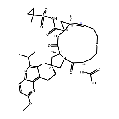 COc1ccc2nc(C(F)F)c3c(c2n1)CC[C@]1(C[C@H]2C(=O)N[C@]4(C(=O)NS(=O)(=O)C5(C)CC5)C[C@H]4/C=C\CCCCC[C@H](NC(=O)O)C(=O)N2C1)O3